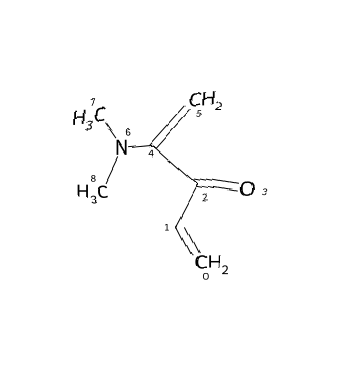 C=CC(=O)C(=C)N(C)C